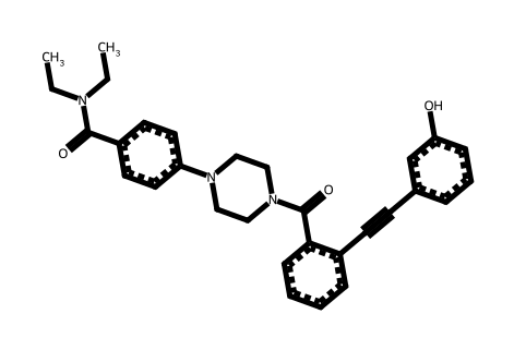 CCN(CC)C(=O)c1ccc(N2CCN(C(=O)c3ccccc3C#Cc3cccc(O)c3)CC2)cc1